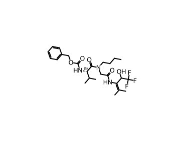 CCCCN(CC(=O)NC(=C(C)C)C(O)C(F)(F)F)C(=O)[C@@H](NC(=O)OCc1ccccc1)C(C)C